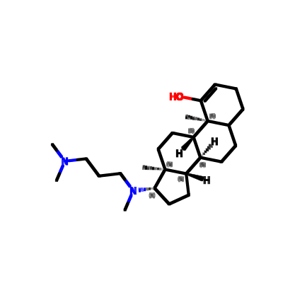 CN(C)CCCN(C)[C@H]1CC[C@H]2[C@@H]3CCC4CCC=C(O)[C@]4(C)[C@H]3CC[C@]12C